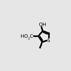 Cc1scc(O)c1C(=O)O